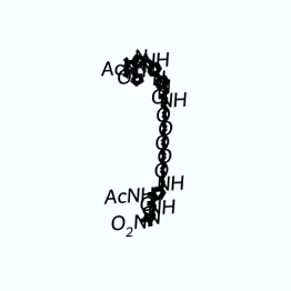 CC(=O)Nc1cc(NCCOCCOCCOCCOCCOCCNC(=O)CN2CCN(c3ccc(Nc4ncc5c(C)c(C(C)=O)c(=O)n(C6CCCC6)c5n4)nc3)CC2)ccc1C(=O)Nc1nc(C)c([N+](=O)[O-])s1